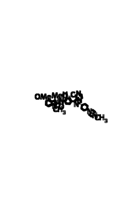 COc1cc(-c2nc([C@H]3CC[C@H](N4CCN(C)CC4)CC3)n3ccnc(C)c23)ccc1NC(=O)c1cc2c(OC)cccc2n1C